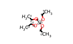 C[CH]O[Si](OCC)(OCC)OCC